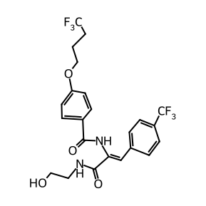 O=C(NCCO)C(=Cc1ccc(C(F)(F)F)cc1)NC(=O)c1ccc(OCCCC(F)(F)F)cc1